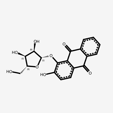 O=C1c2ccccc2C(=O)c2c1ccc(O)c2O[C@@H]1O[C@H](CO)[C@@H](O)[C@H]1O